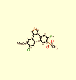 COc1cc(-c2cscc2-c2ccc(S(C)(=O)=O)c(F)c2)ccc1Cl